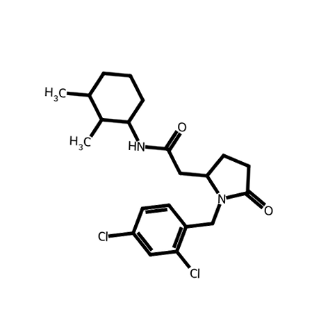 CC1CCCC(NC(=O)CC2CCC(=O)N2Cc2ccc(Cl)cc2Cl)C1C